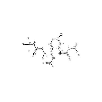 CC(=O)OC(c1ccc(Cl)cc1NC(=O)OC(C)Cl)N(C)CC(=O)OC(C)(C)C